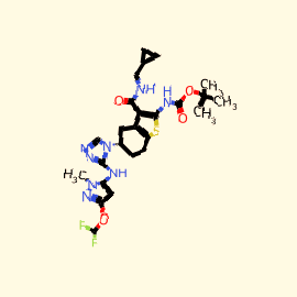 Cn1nc(OC(F)F)cc1Nc1nncn1[C@H]1CCc2sc(NC(=O)OC(C)(C)C)c(C(=O)NCC3CC3)c2C1